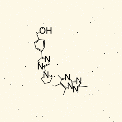 Cc1nc2nc(C)c(C[C@@H]3CCN(c4cnc(-c5ccc(CO)cc5)cn4)C3)c(C)n2n1